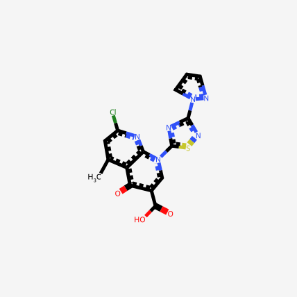 Cc1cc(Cl)nc2c1c(=O)c(C(=O)O)cn2-c1nc(-n2cccn2)ns1